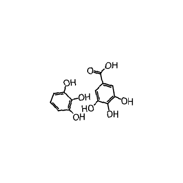 O=C(O)c1cc(O)c(O)c(O)c1.Oc1cccc(O)c1O